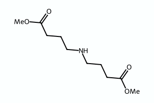 COC(=O)CCCNCCCC(=O)OC